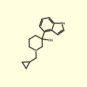 OC1(c2cccc3[nH]ccc23)CCCN(CC2CC2)C1